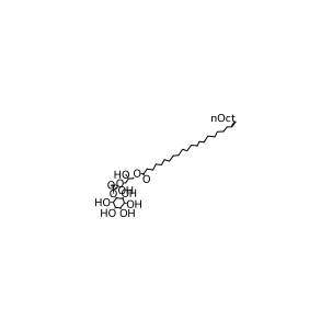 CCCCCCCC/C=C\CCCCCCCCCCCCCCCCCCCC(=O)OC[C@H](O)COP(=O)(O)O[C@@H]1C(O)C(O)[C@@H](O)C(O)[C@H]1O